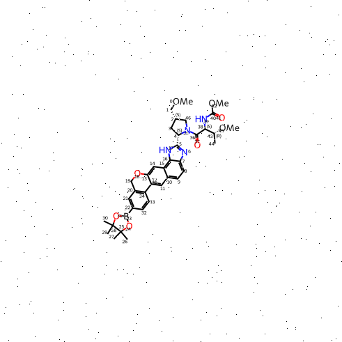 COC[C@H]1C[C@@H](c2nc3ccc4cc5c(cc4c3[nH]2)OCc2cc(B3OC(C)(C)C(C)(C)O3)ccc2-5)N(C(=O)[C@@H](NC(=O)OC)[C@@H](C)OC)C1